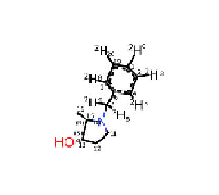 [2H]c1c([2H])c([2H])c(C([2H])([2H])N2CC[C@H](O)[C@H]2C)c([2H])c1[2H]